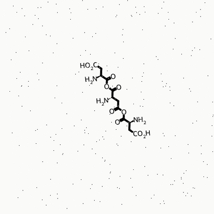 N[C@@H](CC(=O)O)C(=O)OC(=O)C[C@H](N)C(=O)OC(=O)[C@@H](N)CC(=O)O